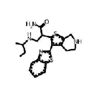 CCC(C)NCC(C(N)=O)c1sc2c(c1-c1nc3ccccc3s1)CCNC2